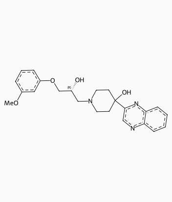 COc1cccc(OC[C@H](O)CN2CCC(O)(c3cnc4ccccc4n3)CC2)c1